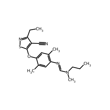 CCCN(C)C=Nc1cc(C)c(Oc2snc(CC)c2C#N)cc1C